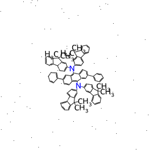 CC1(C)C2=CC(N(c3ccc4c(c3)C(C)(C)c3ccccc3-4)c3c4cc(C5=CCCC=C5)ccc4c(N(c4ccc5c(c4)-c4ccccc4C5(C)C)c4ccc5c(c4)C(C)(C)c4ccccc4-5)c4cc(-c5ccccc5)ccc34)=CCC2c2ccccc21